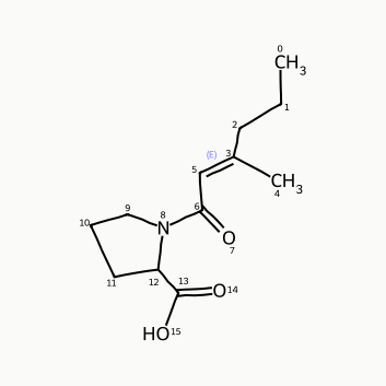 CCC/C(C)=C/C(=O)N1CCCC1C(=O)O